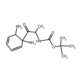 CC(NC(=O)OC(C)(C)C)C(=O)C1(N)C=CC=CC1N